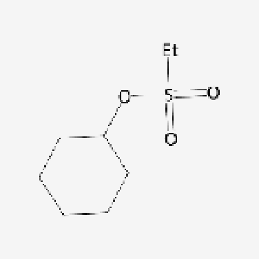 CCS(=O)(=O)OC1CCCCC1